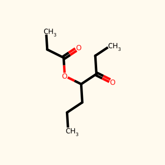 CCCC(OC(=O)CC)C(=O)CC